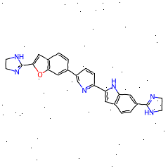 c1cc2cc(-c3ccc(-c4ccc5cc(C6=NCCN6)oc5c4)cn3)[nH]c2cc1C1=NCCN1